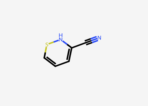 N#CC1=CC=CSN1